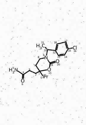 CC(C)C1(CCC(N)=O)CCN([C@@H](C)c2ccc(Cl)cc2)C(=O)O1